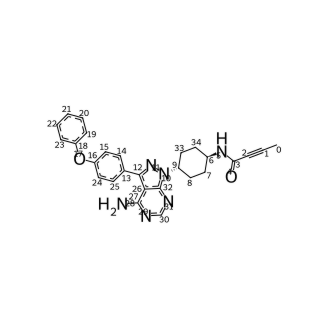 CC#CC(=O)N[C@H]1CC[C@H](n2nc(-c3ccc(Oc4ccccc4)cc3)c3c(N)ncnc32)CC1